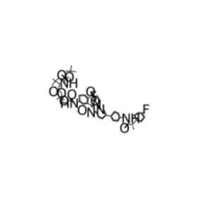 COc1c(NC(=O)OC(C)OC(=O)[C@@H](NC(=O)OC(C)(C)C)C(C)(C)C)ccc(S(C)(=O)=O)c1-c1nc2ccc(-c3ccc(NC(=O)[C@H](C)c4ccc(F)cc4)cc3)cn2n1